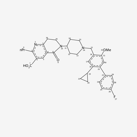 CCCc1nc2c(cc1C(=O)O)C(=O)N(C1CCN(Cc3cc(C4CC4)c(-c4ccc(F)cc4)cc3OC)CC1)CC2